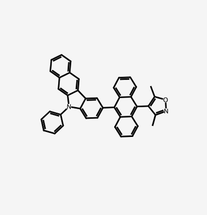 Cc1noc(C)c1-c1c2ccccc2c(-c2ccc3c(c2)c2cc4ccccc4cc2n3-c2ccccc2)c2ccccc12